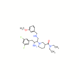 CCN(CC)C(=O)C1CCCN(C(CNCc2cccc(OC)c2)C(N)Cc2cc(F)cc(F)c2)C1